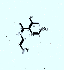 CCC/C=C/N=C(/C)C(/N=C\C(C)CC)=C(C)C